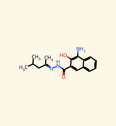 C/C(CC(C)C)=N\NC(=O)c1cc2ccccc2c(N)c1O